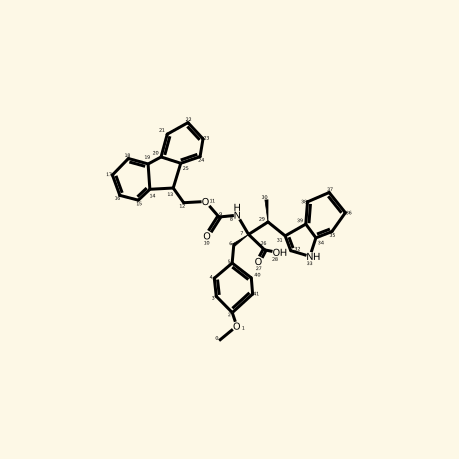 COc1ccc(C[C@](NC(=O)OCC2c3ccccc3-c3ccccc32)(C(=O)O)[C@@H](C)c2c[nH]c3ccccc23)cc1